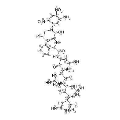 CC(C)CCN(c1cc(N)c([N+](=O)[O-])cc1[N+](=O)[O-])C(O)C(=O)NC(C(=O)NC(NC(=N)N)C(=O)NC(NC(=N)N)C(=O)NC(NC(=N)N)C(=O)NC(NC(=N)N)C(N)=O)c1ccccc1